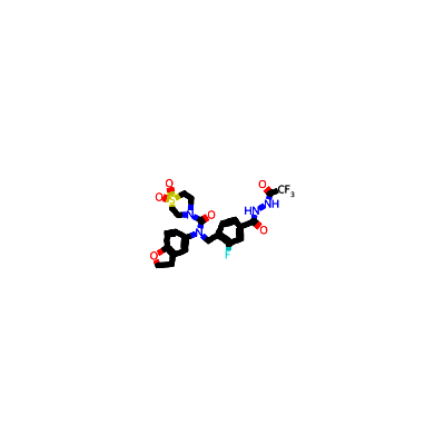 O=C(NNC(=O)C(F)(F)F)c1ccc(CN(C(=O)N2CCS(=O)(=O)CC2)c2ccc3c(c2)CCO3)c(F)c1